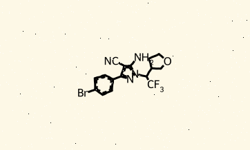 N#Cc1c(-c2ccc(Br)cc2)nn(C(C2CCOC2)C(F)(F)F)c1N